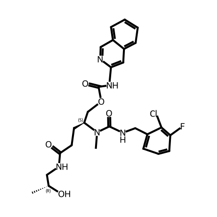 C[C@@H](O)CNC(=O)CC[C@@H](COC(=O)Nc1cc2ccccc2cn1)N(C)C(=O)NCc1cccc(F)c1Cl